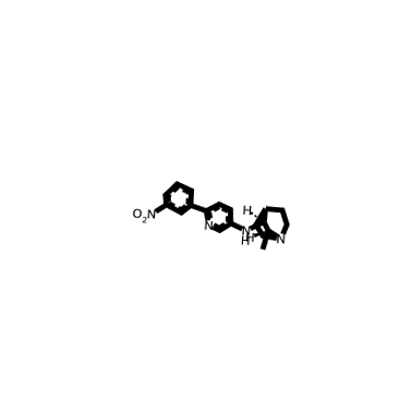 C[C@@H]1[C@@H](Nc2ccc(-c3cccc([N+](=O)[O-])c3)nc2)C2CCN1CC2